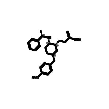 COC(=O)CC[C@@H]1C[C@@H](Cc2ccc(OC)cc2)CC[C@@H]1N[C@@H](C)c1ccccc1